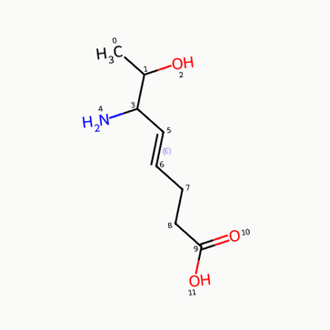 CC(O)C(N)/C=C/CCC(=O)O